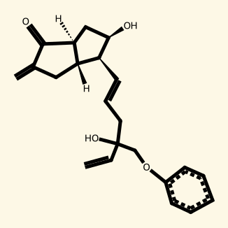 C=CC(O)(CC=C[C@H]1[C@@H]2CC(=C)C(=O)[C@H]2C[C@H]1O)COc1ccccc1